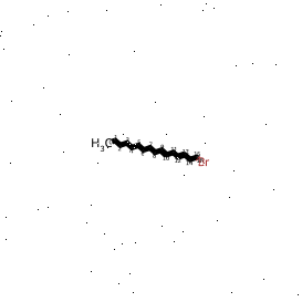 CCCCCCCCCC=CCC=CCCBr